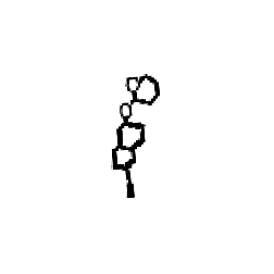 C#Cc1ccc2cc(OC3CCCCO3)ccc2c1